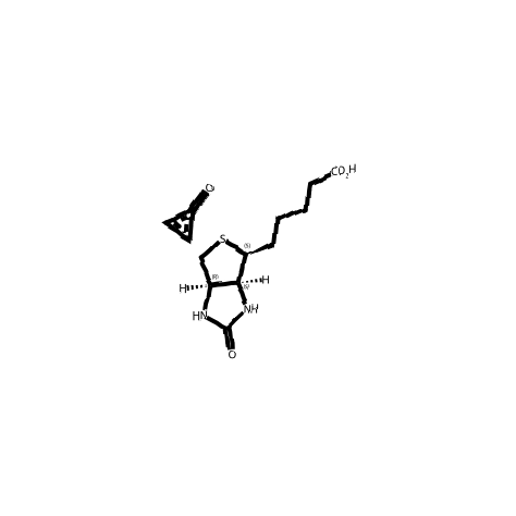 O=C(O)CCCC[C@@H]1SC[C@@H]2NC(=O)N[C@@H]21.O=c1cc1